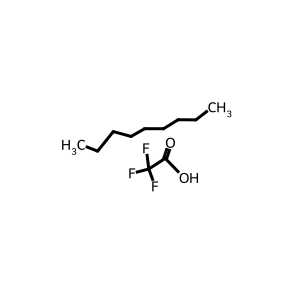 CCCCCCCCC.O=C(O)C(F)(F)F